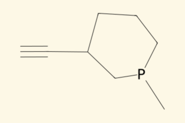 C#CC1CCCP(C)C1